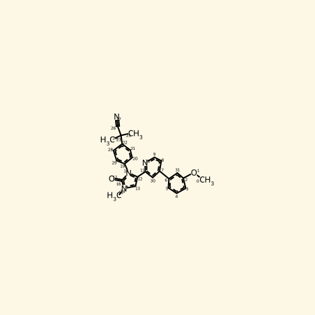 COc1cccc(-c2ccnc(-c3cn(C)c(=O)n3-c3ccc(C(C)(C)C#N)cc3)c2)c1